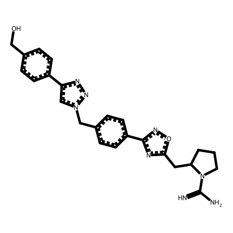 N=C(N)N1CCCC1Cc1nc(-c2ccc(Cn3cc(-c4ccc(CO)cc4)nn3)cc2)no1